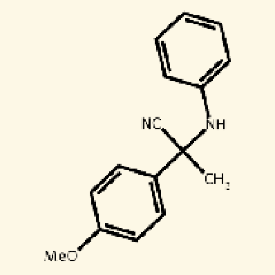 COc1ccc(C(C)(C#N)Nc2ccccc2)cc1